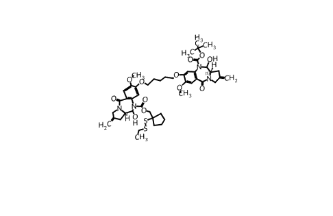 C=C1C[C@H]2C(O)N(C(=O)OCC3(SSCC)CCCC3)c3cc(OCCCCCOc4cc5c(cc4OC)C(=O)N4CC(=C)C[C@H]4C(O)N5C(=O)OC(C)(C)C)c(OC)cc3C(=O)N2C1